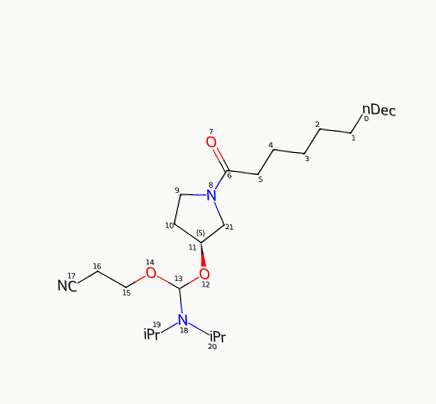 CCCCCCCCCCCCCCCC(=O)N1CC[C@H](OC(OCCC#N)N(C(C)C)C(C)C)C1